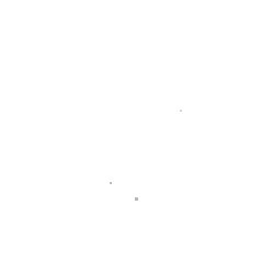 O=C1CCC(c2nc(-c3ccncc3)no2)N1c1ccc(-c2noc(C(F)(F)F)n2)cc1